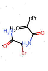 C=C(CCC)C(N)=O.NC(=O)CBr